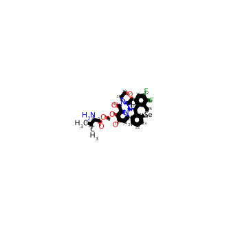 CC(C)[C@H](N)C(=O)OCOc1c2n(ccc1=O)N([C@@H]1c3ccccc3[Se]Cc3c1ccc(F)c3F)[C@@H]1COCCN1C2=O